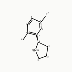 Cc1ccc(F)cc1[C@H]1CCCN1